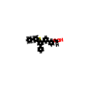 OBOc1cccc(-c2cccc(-c3cc(-c4ccccc4)cc4c3sc3ccc(-c5ccccc5)cc34)c2)c1